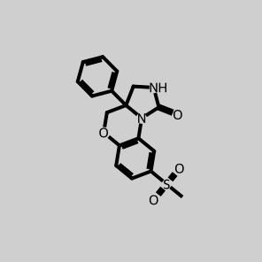 CS(=O)(=O)c1ccc2c(c1)N1C(=O)NCC1(c1ccccc1)CO2